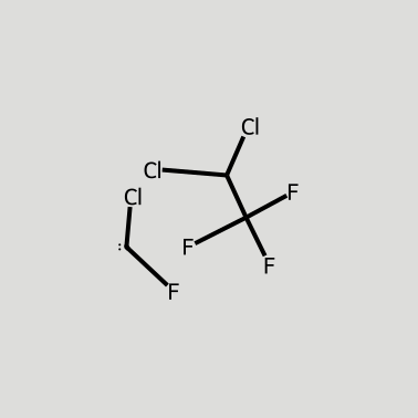 FC(F)(F)C(Cl)Cl.F[C]Cl